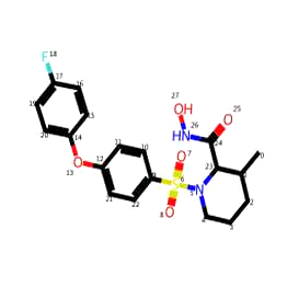 CC1CCCN(S(=O)(=O)c2ccc(Oc3ccc(F)cc3)cc2)C1C(=O)NO